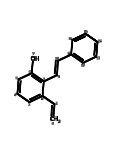 C=Cc1cccc(O)c1C=Cc1ccccc1